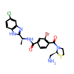 C[C@H](NC(=O)c1ccc(C(=O)N2CCS[C@H]2CN)c(Br)c1)c1nc2cc(Cl)ccc2[nH]1